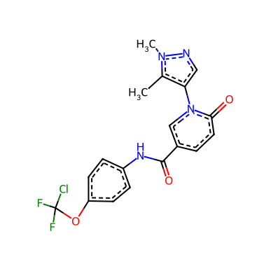 Cc1c(-n2cc(C(=O)Nc3ccc(OC(F)(F)Cl)cc3)ccc2=O)cnn1C